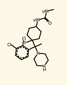 CNC(=O)NC1CCC(F)(C(C)(c2cccc(Cl)c2Cl)N2CCNCC2)CC1